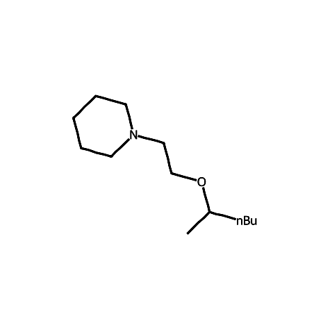 CCCCC(C)OCCN1CCCCC1